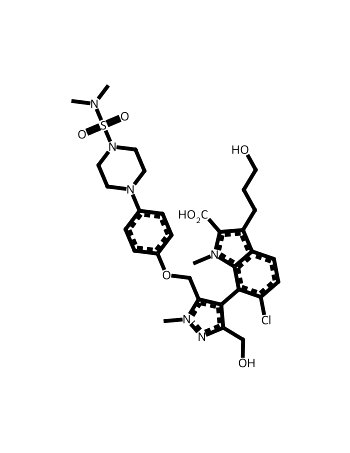 CN(C)S(=O)(=O)N1CCN(c2ccc(OCc3c(-c4c(Cl)ccc5c(CCCO)c(C(=O)O)n(C)c45)c(CO)nn3C)cc2)CC1